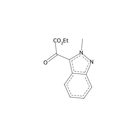 CCOC(=O)C(=O)c1c2ccccc2nn1C